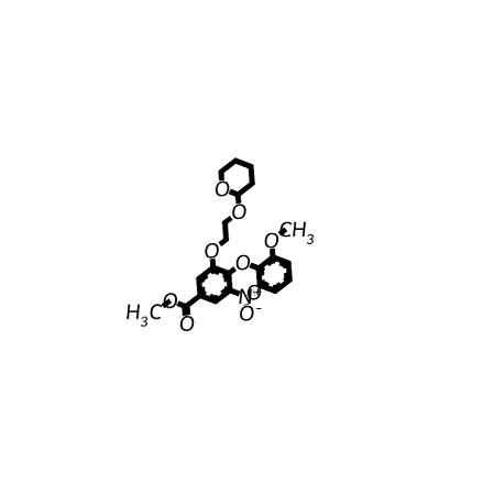 COC(=O)c1cc(OCCOC2CCCCO2)c(Oc2ccccc2OC)c([N+](=O)[O-])c1